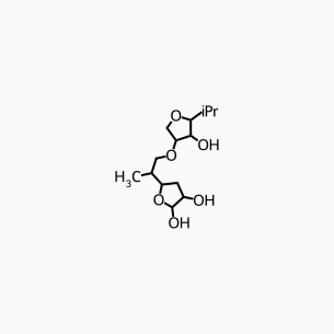 CC(C)C1OCC(OCC(C)C2CC(O)C(O)O2)C1O